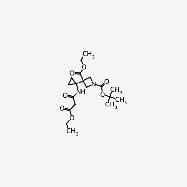 CCOC(=O)CC(=O)NC1(C2(C(=O)OCC)CN(C(=O)OC(C)(C)C)C2)CC1